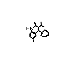 C=C1Nc2ccc(C)cc2C(c2ccccc2)=C1C(C)C